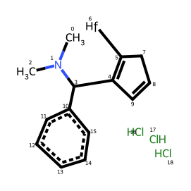 CN(C)C(C1=[C]([Hf])CC=C1)c1ccccc1.Cl.Cl.Cl